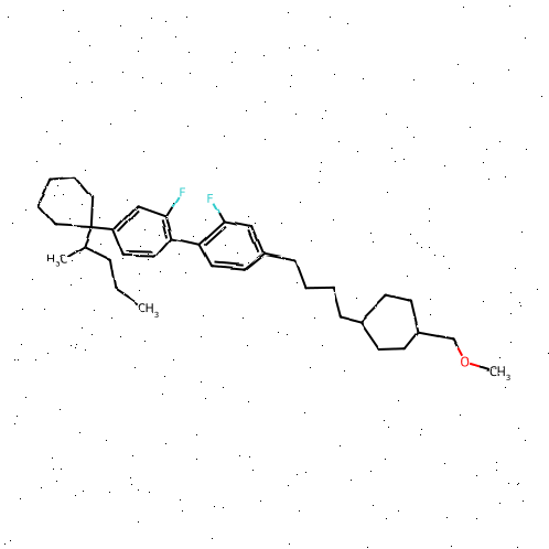 CCCC(C)C1(c2ccc(-c3ccc(CCCCC4CCC(COC)CC4)cc3F)c(F)c2)CCCCC1